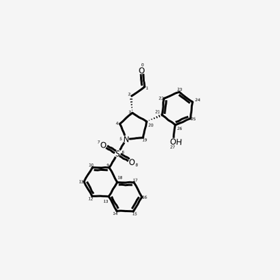 O=CC[C@H]1CN(S(=O)(=O)c2cccc3ccccc23)C[C@H]1c1ccccc1O